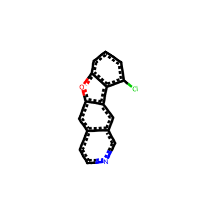 Clc1cccc2oc3cc4ccncc4cc3c12